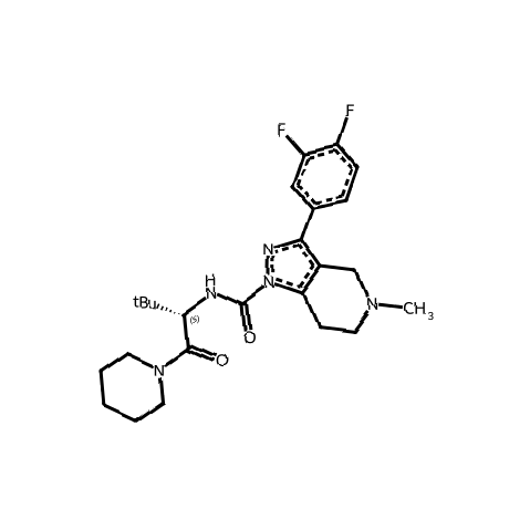 CN1CCc2c(c(-c3ccc(F)c(F)c3)nn2C(=O)N[C@H](C(=O)N2CCCCC2)C(C)(C)C)C1